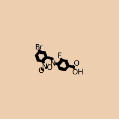 O=C(O)c1ccc(/N=C/c2cc(Br)ccc2[N+](=O)[O-])c(F)c1